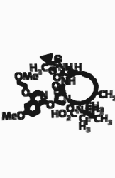 COCCOc1cnc(O[C@@H]2C[C@H]3C(=O)N[C@]4(C(=O)NS(=O)(=O)C5(C)CC5)C[C@H]4/C=C\CC[C@@H](C)C[C@@H](C)[C@H](N(C(=O)O)C(C)(C)C(C)(F)F)C(=O)N3C2)c2ccc(OC)cc12